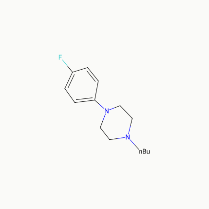 CCCCN1CCN(c2ccc(F)cc2)CC1